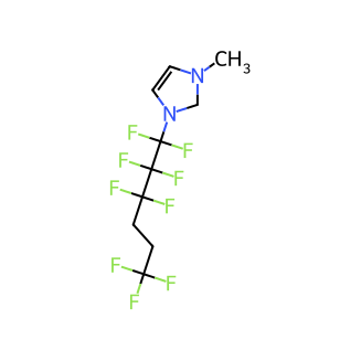 CN1C=CN(C(F)(F)C(F)(F)C(F)(F)CCC(F)(F)F)C1